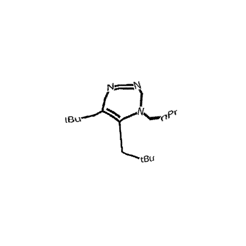 CCCn1nnc(C(C)(C)C)c1CC(C)(C)C